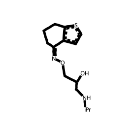 CC(C)NCC(O)CO/N=C1/CCCc2sccc21